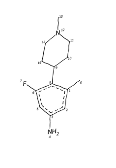 Cc1cc(N)cc(F)c1C1CCN(C)CC1